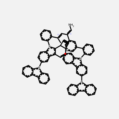 C/C(=C\C(=C/N)c1cncc(-c2ccccc2-n2c3ccccc3c3cc(-n4c5ccccc5c5ccccc54)ccc32)c1)c1ccccc1-n1c2c(c3cc(-n4c5ccccc5c5ccccc54)ccc31)C=CC1C#CC21